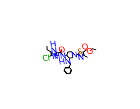 CCOC(=O)c1sc(N2CCC(NC(=O)c3nc(Cl)c(CC)[nH]3)C(NCc3ccccc3)C2)nc1C